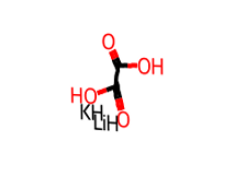 O=C(O)C(=O)O.[KH].[LiH]